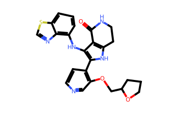 O=C1NCCc2[nH]c(-c3ccncc3OCC3CCCO3)c(Nc3cccc4scnc34)c21